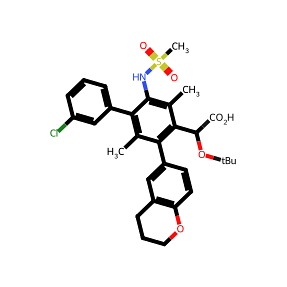 Cc1c(-c2cccc(Cl)c2)c(NS(C)(=O)=O)c(C)c(C(OC(C)(C)C)C(=O)O)c1-c1ccc2c(c1)CCCO2